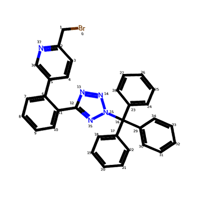 BrCc1ccc(-c2ccccc2-c2nnn(C(c3ccccc3)(c3ccccc3)c3ccccc3)n2)cn1